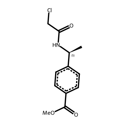 COC(=O)c1ccc([C@H](C)NC(=O)CCl)cc1